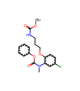 CN(C(=O)Oc1ccccc1)c1cc(F)ccc1OCCCNC(=O)OC(C)(C)C